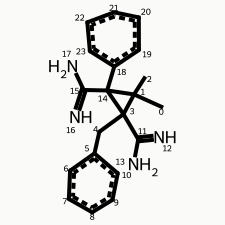 CC1(C)C(Cc2ccccc2)(C(=N)N)C1(C(=N)N)c1ccccc1